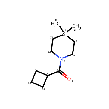 C[Si]1(C)CCN(C(=O)C2CCC2)CC1